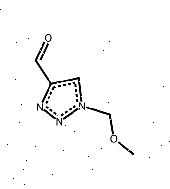 COCn1cc(C=O)nn1